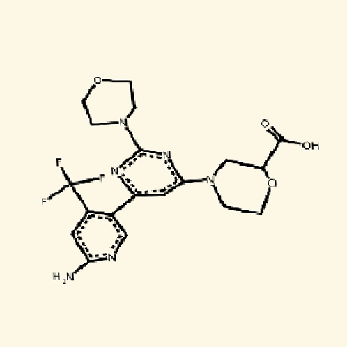 Nc1cc(C(F)(F)F)c(-c2cc(N3CCOC(C(=O)O)C3)nc(N3CCOCC3)n2)cn1